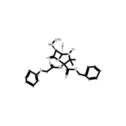 CC1(C)[S+]([O-])[C@@H]2[C@H](NC=O)C(=O)N2[C@@]1(NC(=O)COc1ccccc1)C(=O)OCc1ccccc1